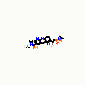 CC(C[PH](=O)N1CC1)c1ccc(N)c(Cc2cccc(C(=P)N(C)C)c2)c1